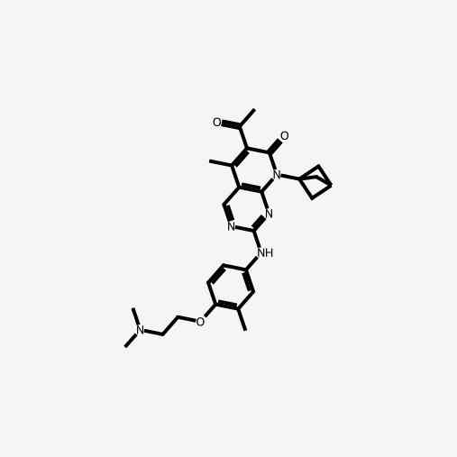 CC(=O)c1c(C)c2cnc(Nc3ccc(OCCN(C)C)c(C)c3)nc2n(C23CC(C2)C3)c1=O